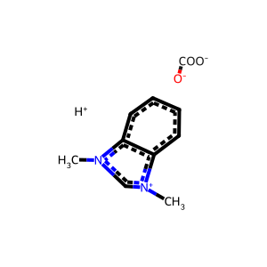 Cn1c[n+](C)c2ccccc21.O=C([O-])[O-].[H+]